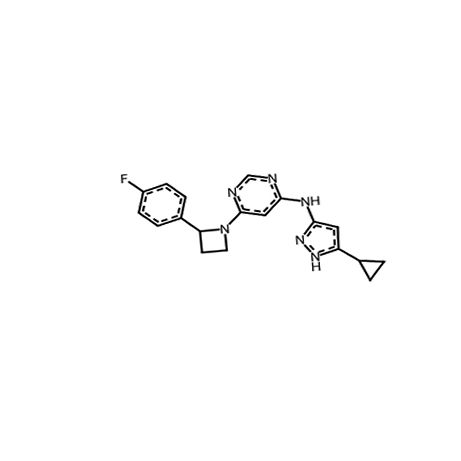 Fc1ccc(C2CCN2c2cc(Nc3cc(C4CC4)[nH]n3)ncn2)cc1